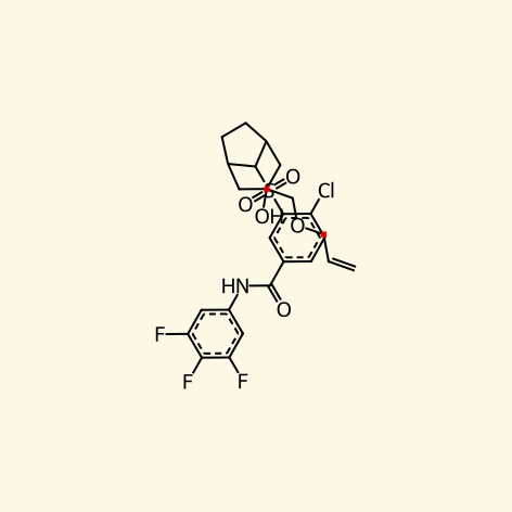 C=CCOCC1(O)CC2CCC(C1)C2S(=O)(=O)c1cc(C(=O)Nc2cc(F)c(F)c(F)c2)ccc1Cl